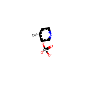 O=[As]([O-])([O-])[O-].[Co+3].c1ccncc1